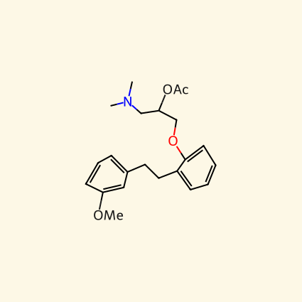 COc1cccc(CCc2ccccc2OCC(CN(C)C)OC(C)=O)c1